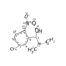 CN(C)C(O)c1cc(Cl)ccc1[N+](=O)[O-]